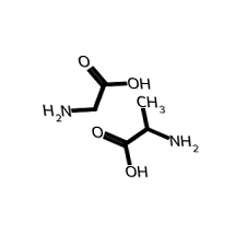 CC(N)C(=O)O.NCC(=O)O